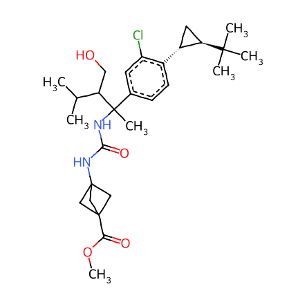 COC(=O)C12CC(NC(=O)NC(C)(c3ccc([C@@H]4C[C@H]4C(C)(C)C)c(Cl)c3)C(CO)C(C)C)(C1)C2